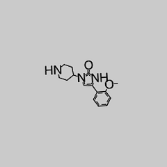 COc1ccccc1-c1cn(C2CCNCC2)c(=O)[nH]1